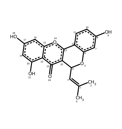 CC(C)=CC1Oc2cc(O)ccc2-c2oc3cc(O)cc(O)c3c(=O)c21